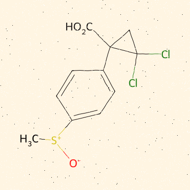 C[S+]([O-])c1ccc(C2(C(=O)O)CC2(Cl)Cl)cc1